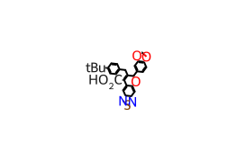 CC(C)(C)c1ccc(C/C(C(=O)c2ccc3c(c2)OCO3)=C(\C(=O)O)c2ccc3nsnc3c2)cc1